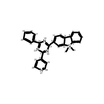 C[Si]1(C)c2ccccc2-c2ccc(-c3nc(-c4ccccc4)nc(-c4ccncc4)n3)cc21